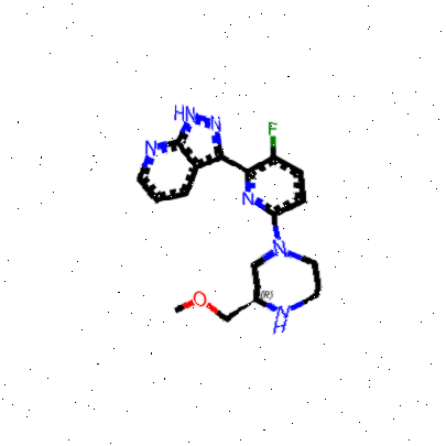 COC[C@H]1CN(c2ccc(F)c(-c3n[nH]c4ncccc34)n2)CCN1